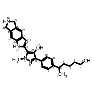 CCCCCC(C)c1ccc(-c2nn(C)c(-c3nc4cc5c(cc4[nH]3)CNC5)c2O)cc1